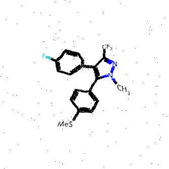 CSc1ccc(-c2c(-c3ccc(F)cc3)c(C(F)(F)F)nn2C)cc1